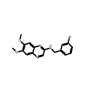 COc1cc2ncc(NCc3cccc(Br)c3)nc2cc1OC